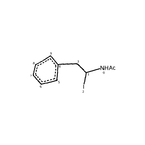 CC(=O)NC(I)Cc1ccccc1